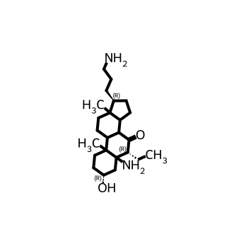 CC[C@H]1C(=O)C2C3CC[C@H](CCCN)C3(C)CCC2C2(C)CC[C@@H](O)CC12N